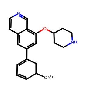 COC1C=CC=C(c2cc(OC3CCNCC3)c3cnccc3c2)C1